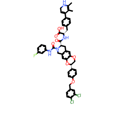 CC1=C(C)C(c2ccc(C[C@H](NC(=O)[C@@H]3Cc4cc5c(cc4CN3C(=O)Nc3cccc(F)c3)O[C@@H](c3ccc(OCc4ccc(Cl)c(Cl)c4)cc3)CO5)C(=O)O)cc2)=CCN1